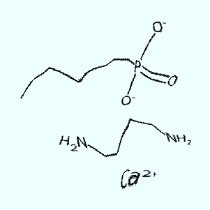 CCCCP(=O)([O-])[O-].NCCN.[Ca+2]